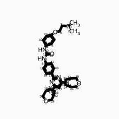 CN(C)CCOc1ccc(NC(=O)Nc2ccc(-c3nc(N4C5CCC4COC5)cc(N4C5CCC4COC5)n3)cc2)cc1